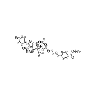 CCCOC(=O)c1ccc(COCCOCCN(c2cc3oc(C4=CC=C(F)CC4)c(C(=O)NC)c3cc2C2CC2)S(C)(=O)=O)cc1